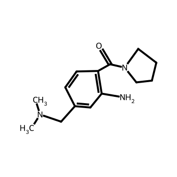 CN(C)Cc1ccc(C(=O)N2CCCC2)c(N)c1